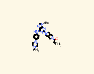 C=CC(=O)N1CC2CN(c3nc(Nc4ccc(N5CCN(C)CC5)cc4)c4ncn(C(C)(C)C)c4n3)CC2C1